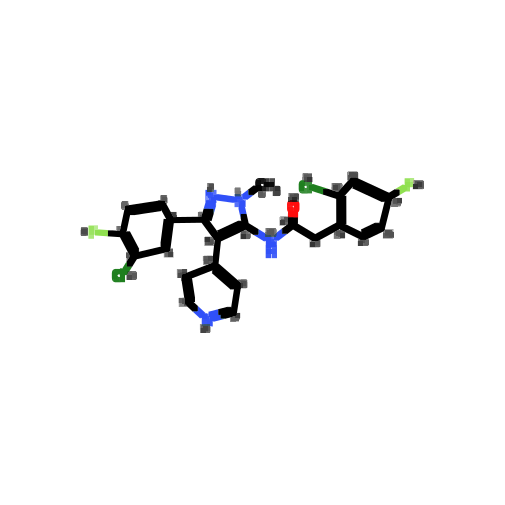 Cn1nc(-c2ccc(F)c(Cl)c2)c(-c2ccncc2)c1NC(=O)Cc1ccc(F)cc1Cl